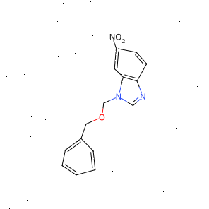 O=[N+]([O-])c1ccc2ncn(COCc3ccccc3)c2c1